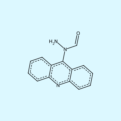 NN(C=O)c1c2ccccc2nc2ccccc12